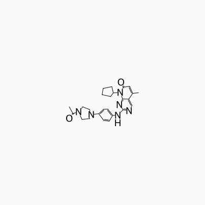 CC(=O)N1CCN(c2ccc(Nc3ncc4c(C)cc(=O)n(C5CCCC5)c4n3)cc2)CC1